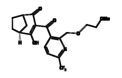 COCCOCc1nc(C(F)(F)F)ccc1C(=O)C1=C(O)[C@H]2CCC(C2)C1=O